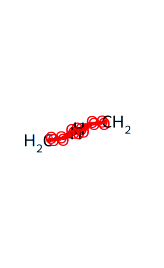 C=CC(=O)OCCCCOC(=O)/C=C/c1ccc(C(=O)O[C@H]2CO[C@H]3[C@@H]2OC[C@H]3OC(=O)c2ccc(/C=C/C(=O)OCCCCOC(=O)C=C)cc2)cc1